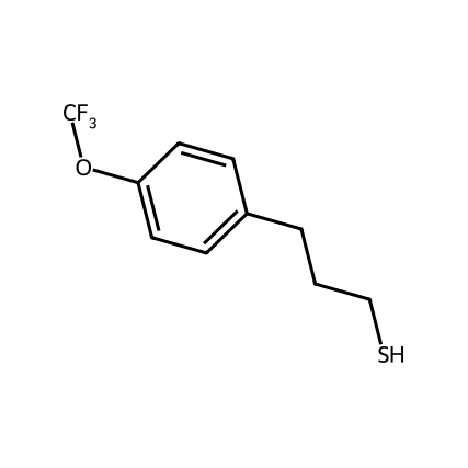 FC(F)(F)Oc1ccc(CCCS)cc1